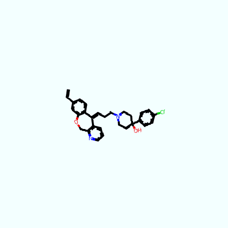 C=Cc1ccc2c(c1)OCc1ncccc1/C2=C\CCN1CCC(O)(c2ccc(Cl)cc2)CC1